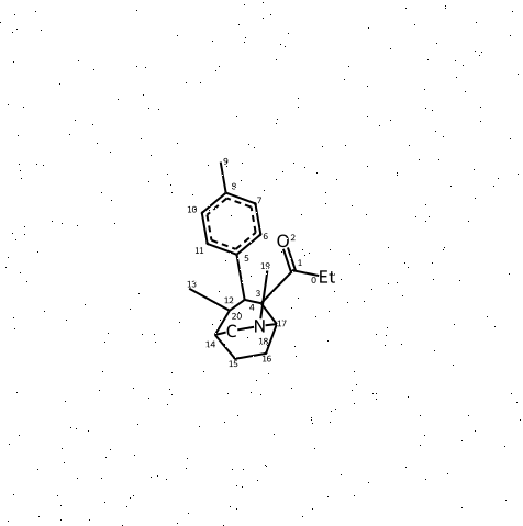 CCC(=O)C1C(c2ccc(C)cc2)C(C)C2CCC1N(C)C2